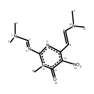 CN(C)C=Nc1nc(/C=C/N(C)C)c([N+](=O)[O-])c(=O)n1C